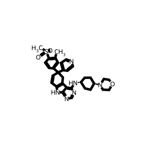 Cc1cc(C2(c3ccncc3)C=Cc3[nH]c4ncnc(N[C@H]5CC[C@H](N6CCOCC6)CC5)c4c3C2)ccc1S(C)(=O)=O